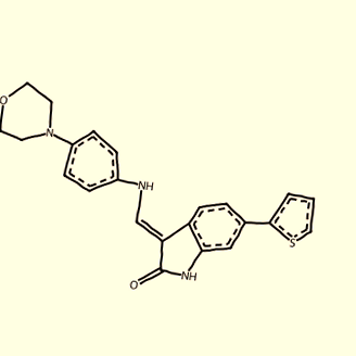 O=C1Nc2cc(-c3cccs3)ccc2/C1=C\Nc1ccc(N2CCOCC2)cc1